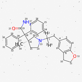 [2H]C([2H])(Cc1ccc2c(c1)CCO2)N1CC[C@@](C)(C(C(N)=O)(c2ccccc2)c2ccccc2)C1